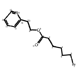 O=C(CCCCCBr)OCCc1ccccn1